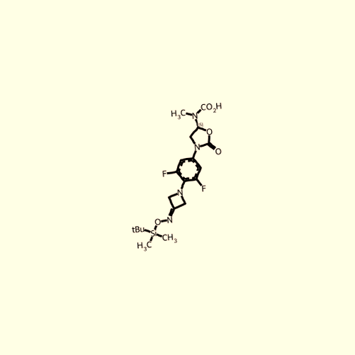 CN(C(=O)O)[C@@H]1CN(c2cc(F)c(N3CC(=NO[Si](C)(C)C(C)(C)C)C3)c(F)c2)C(=O)O1